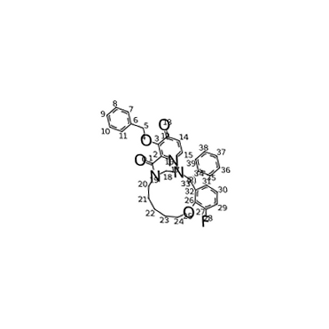 O=C1c2c(OCc3ccccc3)c(=O)ccn2N2CN1CCCCCOc1c(F)cccc1[C@H]2c1ccccc1